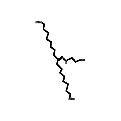 CCCCCCCCCCCCCCCCCCC(CCCCCCCCCCCCCCCCCC)=NNCCNC